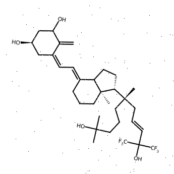 C=C1/C(=C\C=C2CCC[C@@]3(C)C2CC[C@@H]3[C@](C)(C/C=C/C(O)(C(F)(F)F)C(F)(F)F)CCCC(C)(C)O)C[C@@H](O)CC1O